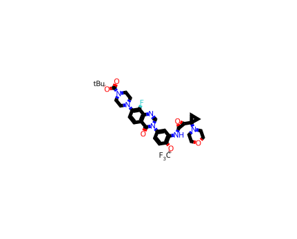 CC(C)(C)OC(=O)N1CCN(c2ccc3c(=O)n(-c4ccc(OC(F)(F)F)c(NC5OC5C5(N6CCOCC6)CC5)c4)cnc3c2F)CC1